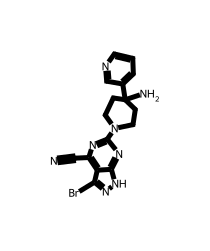 N#Cc1nc(N2CCC(N)(c3cccnc3)CC2)nc2[nH]nc(Br)c12